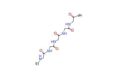 CCNCC(=O)NCC(=O)NCC(=O)NCC(=O)NCC(=O)C(C)C